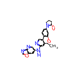 CC1Oc2cc(N3CCCC3=O)ccc2-c2cnc(Nc3cnc4ncoc4c3)cc21